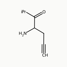 C#CCC(N)C(=O)C(C)C